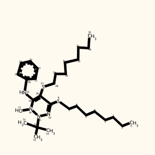 CCCCCCCCSC1=NN(C(C)(C)C)N(O)C(Nc2ccccc2)=C1SCCCCCCCC